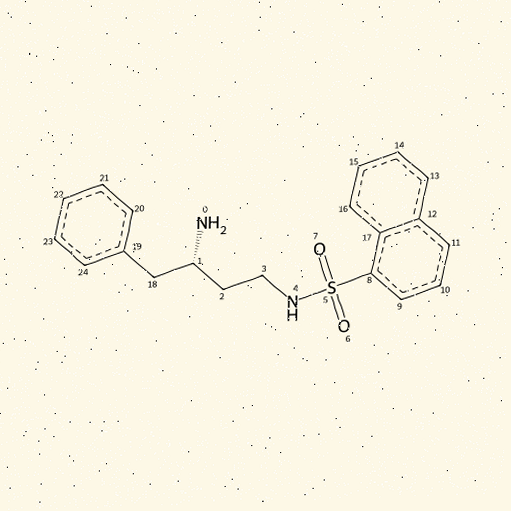 N[C@H](CCNS(=O)(=O)c1cccc2ccccc12)Cc1ccccc1